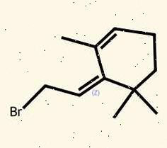 CC1=CCCC(C)(C)/C1=C/CBr